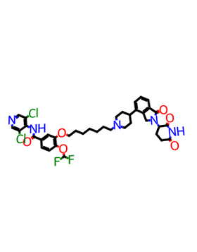 O=C1CCC(N2Cc3c(cccc3C3CCN(CCCCCCCOc4cc(C(=O)Nc5c(Cl)cncc5Cl)ccc4OC(F)F)CC3)C2=O)C(=O)N1